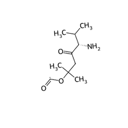 CC(C)[C@H](N)C(=O)CC(C)(C)O[C]=O